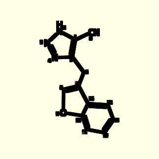 N#Cc1[nH]nnc1Cc1coc2ccccc12